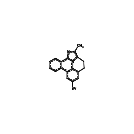 Cc1nc2c3ccccc3c3cc(C(C)C)cc4c3n2c1CC4